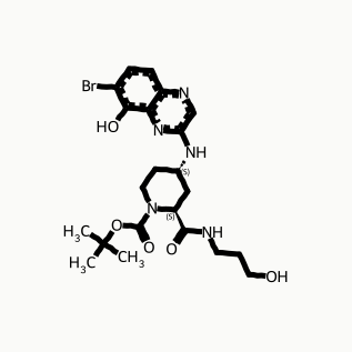 CC(C)(C)OC(=O)N1CC[C@H](Nc2cnc3ccc(Br)c(O)c3n2)C[C@H]1C(=O)NCCCO